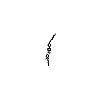 CCCCCCCCCc1ccc(-c2ccc(C(=O)OC3CCC(C#N)(CCCCCCC)CC3)cc2)cc1